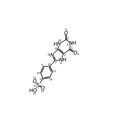 O=c1[nH]c(=O)c2[nH]c(-c3ccc(S(=O)(=O)O)cc3)nc2[nH]1